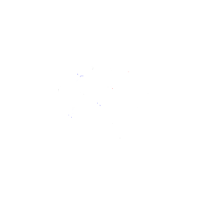 Cc1nc(C)c([C@H](OC(C)(C)C)C(=O)O)c(N2CCC(C)(C)CC2)c1C#N